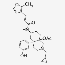 CC(=O)O[C@]12CC[C@H](NC(=O)C=Cc3ccoc3C)C[C@]1(c1cccc(O)c1)CCN(CC1CC1)C2